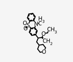 C=C(OCC)C(CC1CCOCC1)c1ccc2c(c1)N(C)c1ccccc1S2(=O)=O